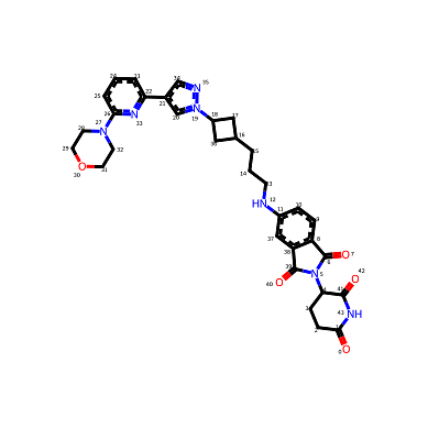 O=C1CCC(N2C(=O)c3ccc(NCCCC4CC(n5cc(-c6cccc(N7CCOCC7)n6)cn5)C4)cc3C2=O)C(=O)N1